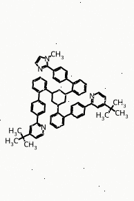 Cn1ccnc1-c1ccc(-c2ccccc2C2CC(c3ccccc3-c3ccc(-c4cc(C(C)(C)C)ccn4)cc3)CC(c3ccccc3-c3ccc(-c4cc(C(C)(C)C)ccn4)cc3)C2)cc1